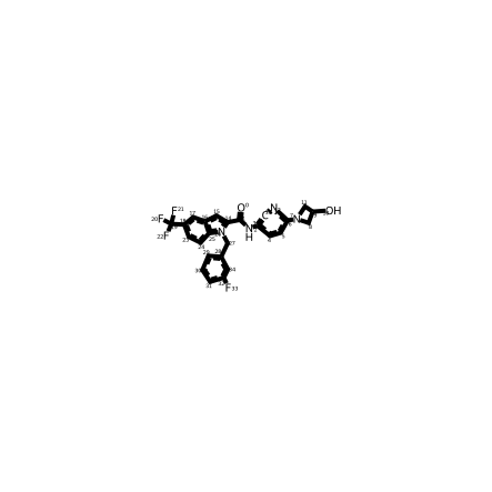 O=C(Nc1ccc(N2CC(O)C2)nc1)c1cc2cc(C(F)(F)F)ccc2n1Cc1cccc(F)c1